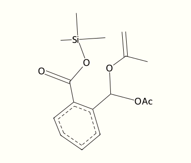 C=C(C)OC(OC(C)=O)c1ccccc1C(=O)O[Si](C)(C)C